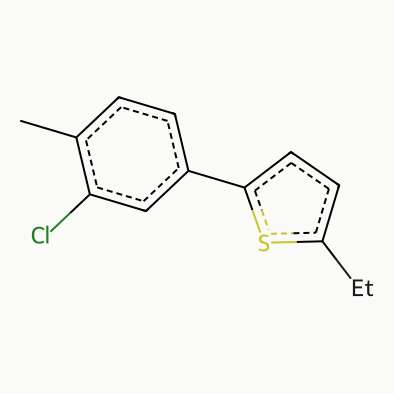 CCc1ccc(-c2ccc(C)c(Cl)c2)s1